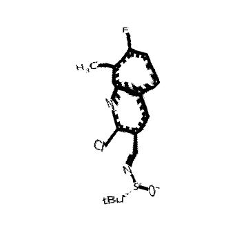 Cc1c(F)ccc2cc(C=N[S@+]([O-])C(C)(C)C)c(Cl)nc12